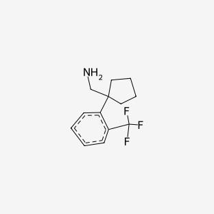 NCC1(c2ccccc2C(F)(F)F)CCCC1